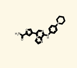 NC(=O)c1cc(-c2cnc(Nc3ccc(N4CCCCC4)cc3)c3nccn23)co1